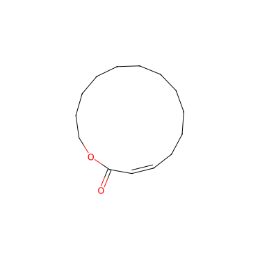 O=C1/C=C\CCCCCCCCCCCO1